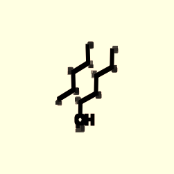 CCCCC.CCCCCO